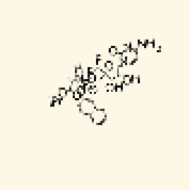 CC(C)OC(=O)[C@H](C)N[P@](=O)(OC[C@@]1(C(F)F)O[C@@H](n2ccc(N)nc2=O)[C@H](O)[C@@H]1O)Oc1ccc2ccccc2c1